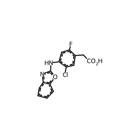 O=C(O)Cc1cc(Cl)c(Nc2nc3ccccc3o2)cc1F